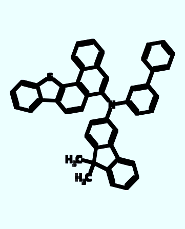 CC1(C)c2ccccc2-c2cc(N(c3cccc(-c4ccccc4)c3)c3cc4ccccc4c4c3ccc3c5ccccc5sc34)ccc21